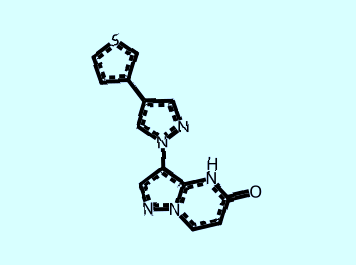 O=c1ccn2ncc(-n3cc(-c4ccsc4)cn3)c2[nH]1